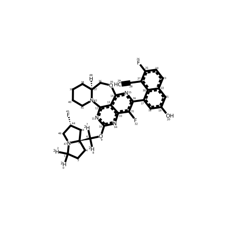 [2H]C1([2H])CC[C@@]2(C([2H])([2H])Oc3nc4c5c(nc(-c6cc(O)cc7ccc(F)c(C#C)c67)c(F)c5n3)OC[C@@H]3CCCCN43)C[C@@H](F)CN12